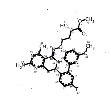 COC(=O)[C@@H](O)CCO/N=C1\N[C@@H](c2ccc(F)cc2-c2cccc(OC)n2)Cc2nc(N)nc(C)c21